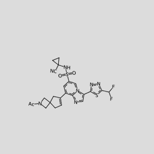 CC(=O)N1CC2(CC=C(c3cc(S(=O)(=O)NC4(C#N)CC4)cn4c(-c5nnc(C(F)F)s5)cnc34)C2)C1